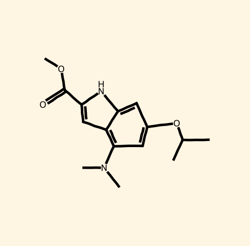 COC(=O)c1cc2c(N(C)C)cc(OC(C)C)cc2[nH]1